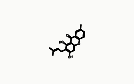 CC(C)=CCc1c(O)cc2oc3ccc(C)cc3c(=O)c2c1O